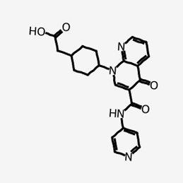 O=C(O)CC1CCC(n2cc(C(=O)Nc3ccncc3)c(=O)c3cccnc32)CC1